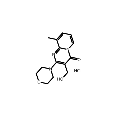 Cc1cccn2c(=O)c(CO)c(N3CCOCC3)nc12.Cl